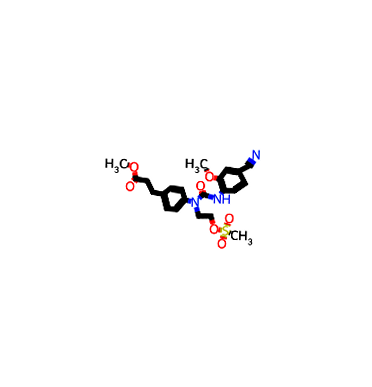 COC(=O)CCc1ccc(N(CCOS(C)(=O)=O)C(=O)Nc2ccc(C#N)cc2OC)cc1